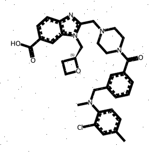 Cc1ccc(N(C)Cc2cccc(C(=O)N3CCN(Cc4nc5ccc(C(=O)O)cc5n4C[C@@H]4CCO4)CC3)c2)c(Cl)c1